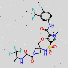 C[C@H](NC(=O)C(=O)N1CC2(COc3c(cn(C)c3C(=O)Nc3ccc(F)c(C(F)F)c3)S(=O)(=O)N2)C1)C(F)(F)F